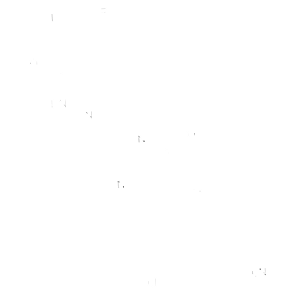 Cc1ncn(Cc2cc(C(F)F)c(=O)[nH]n2)c(=O)c1Oc1cc(Cl)cc(C#N)c1